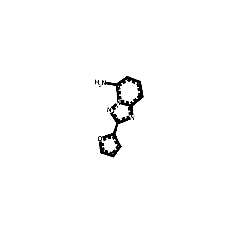 Nc1cccc2nc(-c3ccco3)nn12